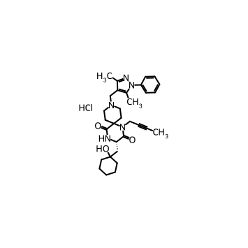 CC#CCN1C(=O)[C@H](CC2(O)CCCCC2)NC(=O)C12CCN(Cc1c(C)nn(-c3ccccc3)c1C)CC2.Cl